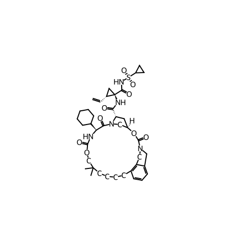 C=C[C@@H]1C[C@]1(NC(=O)[C@@H]1C[C@@H]2CN1C(=O)[C@H](C1CCCCC1)NC(=O)OCC(C)(C)CCCCc1cccc3c1CN(C3)C(=O)O2)C(=O)NS(=O)(=O)C1CC1